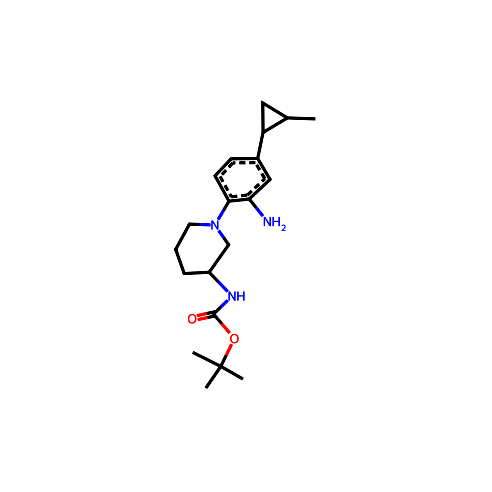 CC1CC1c1ccc(N2CCCC(NC(=O)OC(C)(C)C)C2)c(N)c1